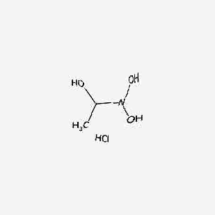 CC(O)N(O)O.Cl